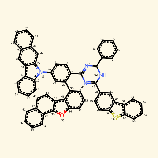 c1ccc(C2N=C(c3ccc(-n4c5ccccc5c5cc6ccccc6cc54)cc3-c3cccc4oc5c6ccccc6ccc5c34)N=C(c3ccc4sc5ccccc5c4c3)N2)cc1